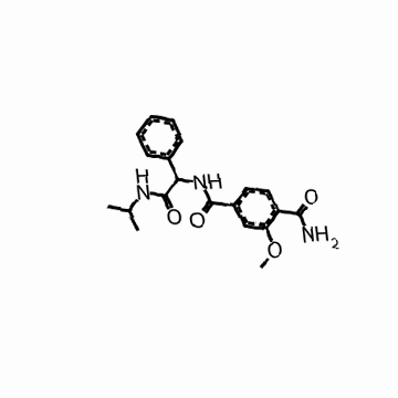 COc1cc(C(=O)NC(C(=O)NC(C)C)c2ccccc2)ccc1C(N)=O